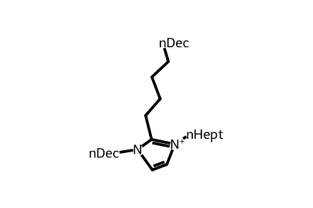 CCCCCCCCCCCCCCc1n(CCCCCCCCCC)cc[n+]1CCCCCCC